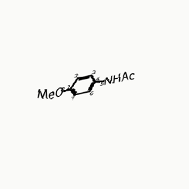 [CH2-][OH+]c1ccc(NC(C)=O)cc1